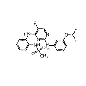 CS(=O)(=O)Nc1ccccc1Nc1nc(Nc2cccc(OC(F)F)c2)ncc1F